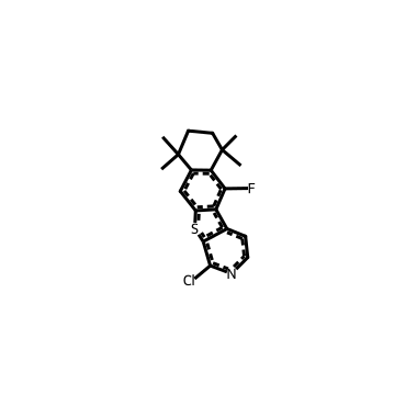 CC1(C)CCC(C)(C)c2c1cc1sc3c(Cl)nccc3c1c2F